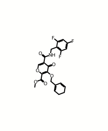 COC(=O)c1occ(C(=O)NCc2c(F)cc(F)cc2F)c(=O)c1OCC1=CCCC=C1